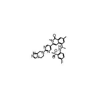 Cc1cc([C@@H](C)Nc2ccc(F)cc2S(C)(=O)=O)c2cc(-c3cnc(N4CCn5cnnc5C4)nc3)n(C)c(=O)c2c1